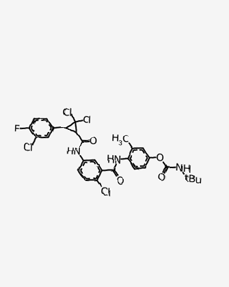 Cc1cc(OC(=O)NC(C)(C)C)ccc1NC(=O)c1cc(NC(=O)C2C(c3ccc(F)c(Cl)c3)C2(Cl)Cl)ccc1Cl